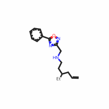 C=CCC(CC)CCNCc1noc(-c2ccccc2)n1